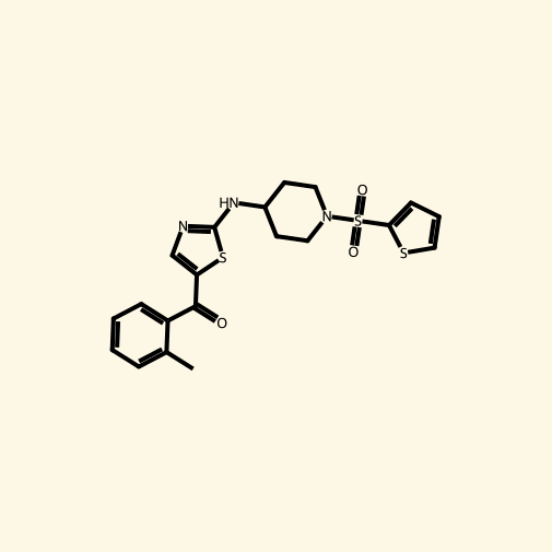 Cc1ccccc1C(=O)c1cnc(NC2CCN(S(=O)(=O)c3cccs3)CC2)s1